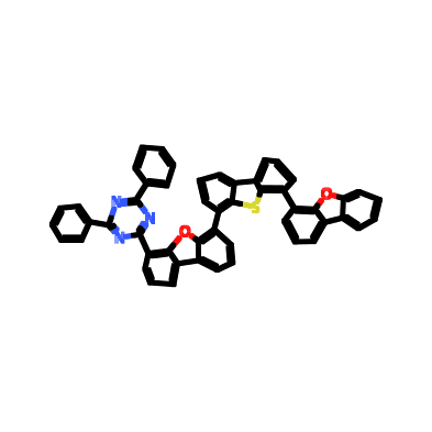 c1ccc(-c2nc(-c3ccccc3)nc(-c3cccc4c3oc3c(-c5cccc6c5sc5c(-c7cccc8c7oc7ccccc78)cccc56)cccc34)n2)cc1